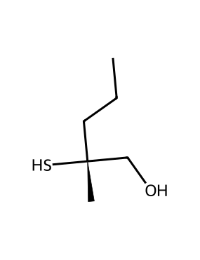 CCC[C@@](C)(S)CO